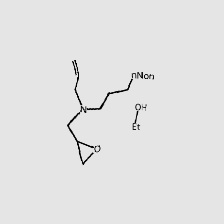 C=CCN(CCCCCCCCCCCC)CC1CO1.CCO